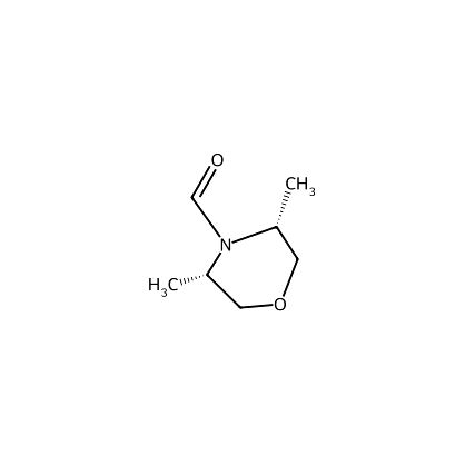 C[C@@H]1COC[C@H](C)N1C=O